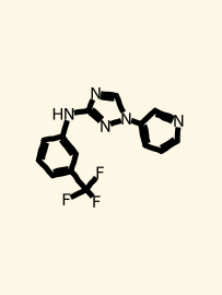 FC(F)(F)c1cccc(Nc2ncn(-c3cccnc3)n2)c1